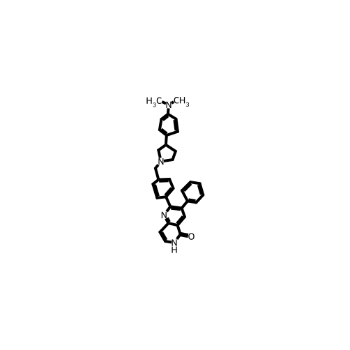 CN(C)c1ccc(C2CCN(Cc3ccc(-c4nc5cc[nH]c(=O)c5cc4-c4ccccc4)cc3)C2)cc1